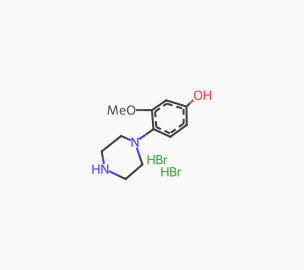 Br.Br.COc1cc(O)ccc1N1CCNCC1